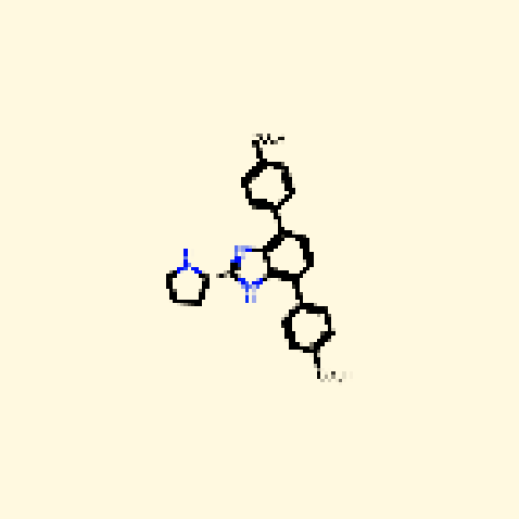 O=C(O)c1ccc(-c2ccc(-c3ccc(C(=O)O)cc3)c3[nH]c([C@@H]4CCCN4)nc23)cc1